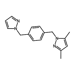 Cc1cc(C)n(Cc2ccc(Cn3cccn3)cc2)n1